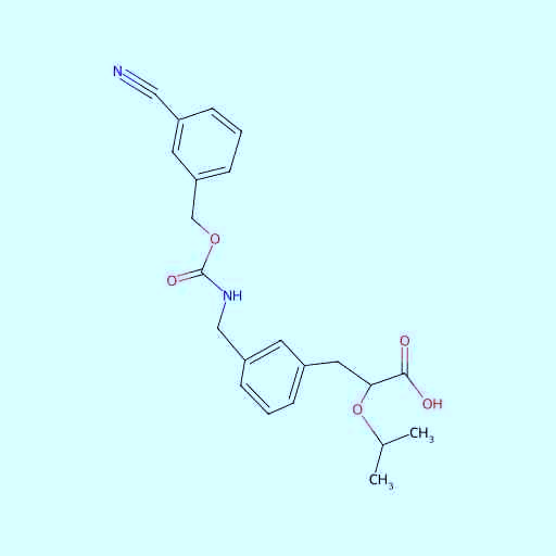 CC(C)OC(Cc1cccc(CNC(=O)OCc2cccc(C#N)c2)c1)C(=O)O